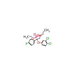 CCCCCC(Oc1ccc(Cl)c(Cl)c1)(c1ccc(F)cc1)P(=O)(O)OCC